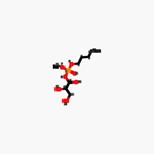 CCCCCCCCCCCCOP(=O)([O-])OC(=O)C(O)CO.[Na+]